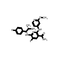 COc1cc(Nc2nc(N[C@H](c3ccc(F)cc3)[C@H](C)N)c(F)cc2C(N)=O)ccn1